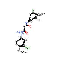 COc1ccc(NC(=O)CC(=O)Nc2ccc(OC)c(Cl)c2)cc1Cl